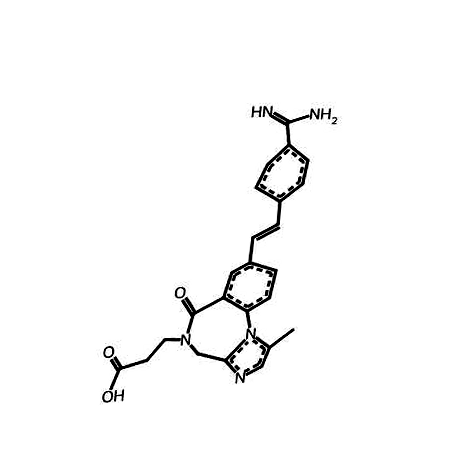 Cc1cnc2n1-c1ccc(/C=C/c3ccc(C(=N)N)cc3)cc1C(=O)N(CCC(=O)O)C2